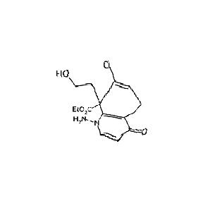 CCOC(=O)C1(CCO)C(Cl)=CCc2c1n(N)ccc2=O